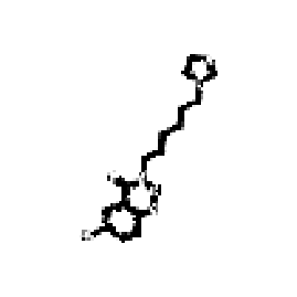 O=c1c2cc(Cl)ccc2nnn1CCCCCCn1ccnc1